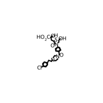 O=C(O)C(=O)CC(S)C(=O)N(CCO)c1ccc(C(=O)N2CCN(CCc3ccc(Cl)cc3)CC2)cc1